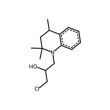 CC1CC(C)(C)N(CC(O)CCl)c2ccccc21